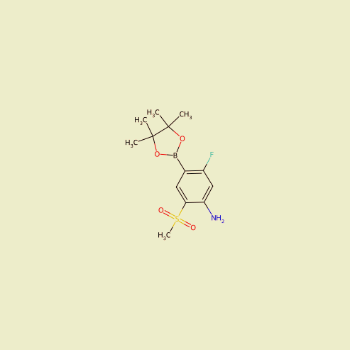 CC1(C)OB(c2cc(S(C)(=O)=O)c(N)cc2F)OC1(C)C